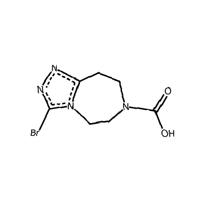 O=C(O)N1CCc2nnc(Br)n2CC1